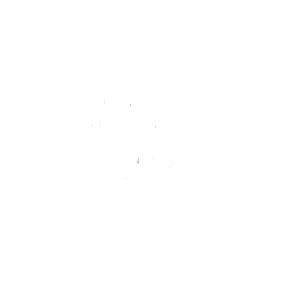 CC1OC=Cc2c1n(C)c1ccccc21